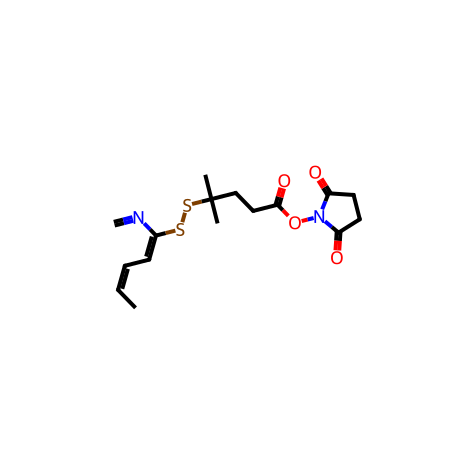 C=N/C(=C\C=C/C)SSC(C)(C)CCC(=O)ON1C(=O)CCC1=O